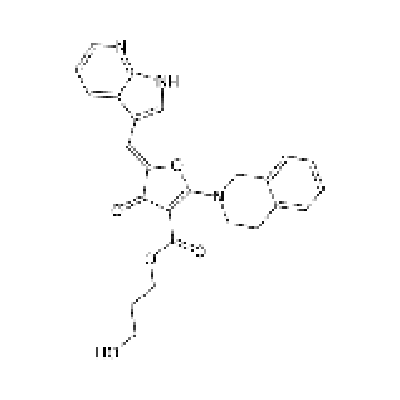 O=C(OCCCO)C1=C(N2CCc3ccccc3C2)O/C(=C\c2c[nH]c3ncccc23)C1=O